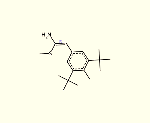 CS/C(N)=C\c1cc(C(C)(C)C)c(C)c(C(C)(C)C)c1